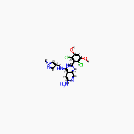 COc1cc(OC)c(Cl)c(-c2nc(NCc3cnn(C)c3)c3cc(N)ncc3n2)c1Cl